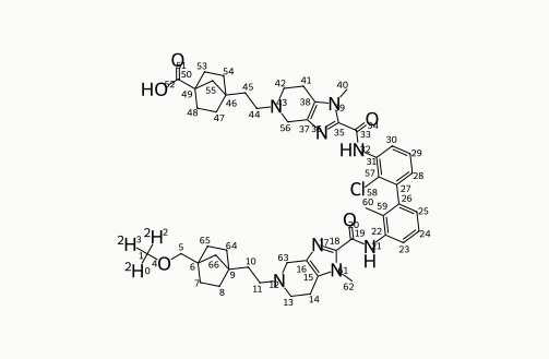 [2H]C([2H])([2H])OCC12CCC(CCN3CCc4c(nc(C(=O)Nc5cccc(-c6cccc(NC(=O)c7nc8c(n7C)CCN(CCC79CCC(C(=O)O)(CC7)C9)C8)c6Cl)c5C)n4C)C3)(CC1)C2